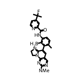 Bc1c(NC(=O)c2cc(C(C)(C)F)ccn2)ccc(C)c1C1=Cc2cnc(NC)nc2N2CCN=C12